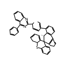 C/C=C(\C=C/C(C)c1nc(-c2ccccc2)c2ccccc2n1)c1cccc2c1[C@@H](C)C1(C3=CC=CCC3Sc3ccccc31)C1=C2C=CCC1